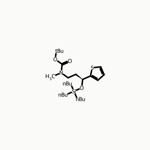 CCCC[Si](CCCC)(CCCC)O[C@@H](CCN(C)C(=O)OC(C)(C)C)c1cccs1